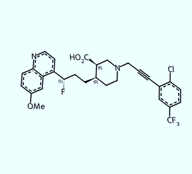 COc1ccc2nccc([C@@H](F)CC[C@@H]3CCN(CC#Cc4cc(C(F)(F)F)ccc4Cl)C[C@@H]3C(=O)O)c2c1